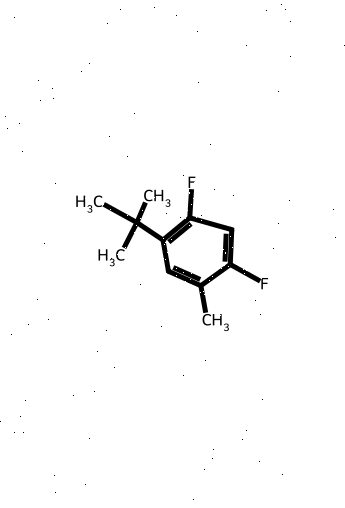 Cc1cc(C(C)(C)C)c(F)cc1F